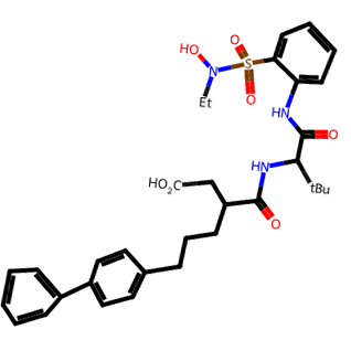 CCN(O)S(=O)(=O)c1ccccc1NC(=O)C(NC(=O)C(CCCc1ccc(-c2ccccc2)cc1)CC(=O)O)C(C)(C)C